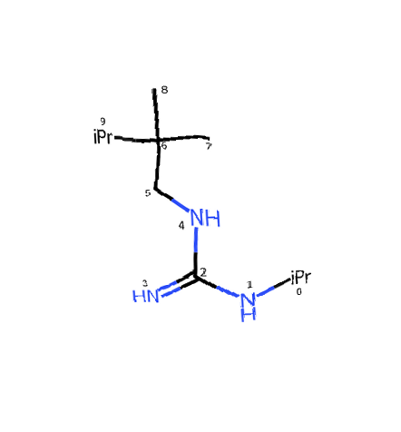 CC(C)NC(=N)NCC(C)(C)C(C)C